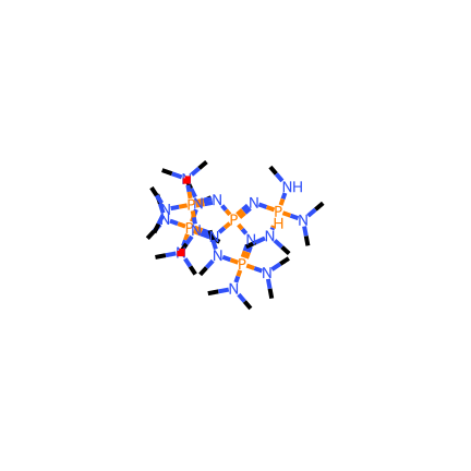 CN[PH](N=P(N=P(N(C)C)(N(C)C)N(C)C)(N=P(N(C)C)(N(C)C)N(C)C)N=P(N(C)C)(N(C)C)N(C)C)(N(C)C)N(C)C